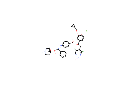 O=C(OC(Cc1c(Cl)c[n+]([O-])cc1Cl)c1ccc(OC(F)F)c(OCC2CC2)c1)c1ccc(NC(C(=O)O[C@H]2CN3CCC2CC3)c2ccccc2)cc1